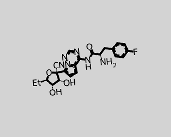 CC[C@H]1O[C@@](C#N)(c2ccc3c(NC(=O)[C@@H](N)Cc4ccc(F)cc4)ncnn23)[C@H](O)[C@@H]1O